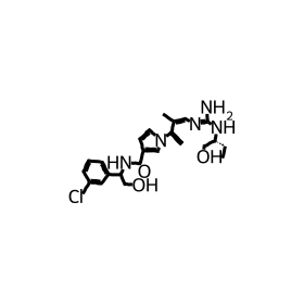 C=C(/C(C)=C\N=C(/N)N[C@H](CC)CO)n1ccc(C(=O)NC(CO)c2cccc(Cl)c2)c1